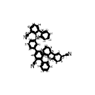 N#Cc1ccc2c(c1)c1ccccc1n2-c1ccccc1-c1ccc(-c2cccc(-n3c4ccccc4c4cccc(C#N)c43)c2)cc1C#N